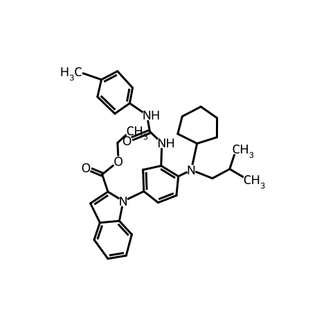 CCOC(=O)c1cc2ccccc2n1-c1ccc(N(CC(C)C)C2CCCCC2)c(NC(=O)Nc2ccc(C)cc2)c1